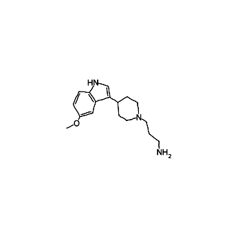 COc1ccc2[nH]cc(C3CCN(CCCN)CC3)c2c1